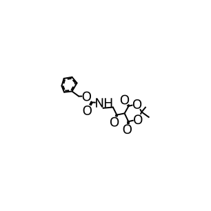 CC1(C)OC(=O)C(C(=O)CCNC(=O)OCc2ccccc2)C(=O)O1